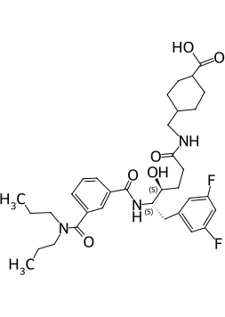 CCCN(CCC)C(=O)c1cccc(C(=O)N[C@@H](Cc2cc(F)cc(F)c2)[C@@H](O)CCC(=O)NCC2CCC(C(=O)O)CC2)c1